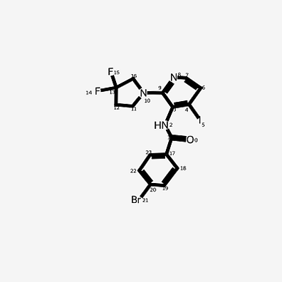 O=C(Nc1c(I)ccnc1N1CCC(F)(F)C1)c1ccc(Br)cc1